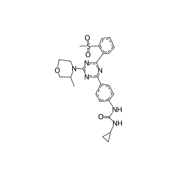 CC1COCCN1c1nc(-c2ccc(NC(=O)NC3CC3)cc2)nc(-c2ccccc2S(C)(=O)=O)n1